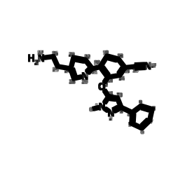 Cn1nc(-c2ccccc2)cc1Oc1cc(C#N)ccc1-c1ccc(CCN)cn1